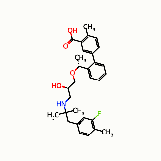 Cc1ccc(CC(C)(C)NC[C@@H](O)CO[C@H](C)c2ccccc2-c2ccc(C)c(C(=O)O)c2)cc1F